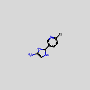 CCc1ccc(C2NC=C(N)N2)cn1